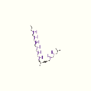 C=C(C)CI(I)CI(I)CC#CC(C)=CI(I)CI(I)CI(I)CI(I)CI(I)CI(I)CCC